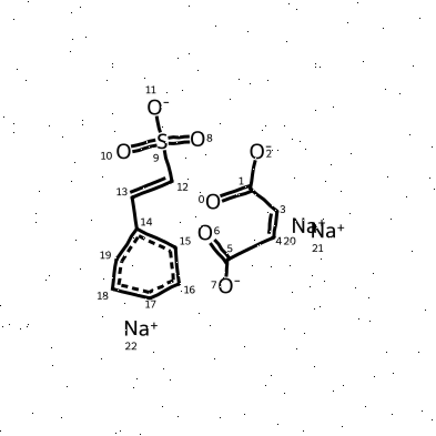 O=C([O-])/C=C\C(=O)[O-].O=S(=O)([O-])C=Cc1ccccc1.[Na+].[Na+].[Na+]